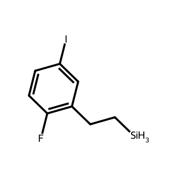 Fc1ccc(I)cc1CC[SiH3]